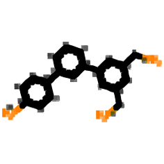 PCc1cc(CP)cc(-c2cccc(-c3ccc(P)cc3)c2)c1